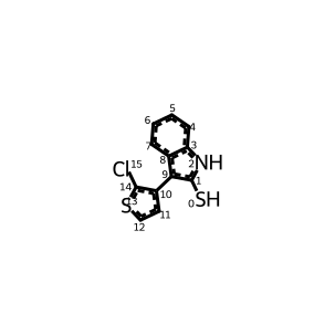 Sc1[nH]c2ccccc2c1-c1ccsc1Cl